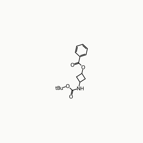 CC(C)(C)OC(=O)NC1CC(OC(=O)c2ccccc2)C1